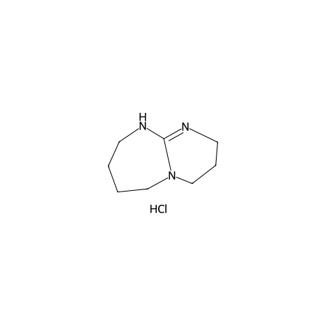 C1CCN2CCCN=C2NC1.Cl